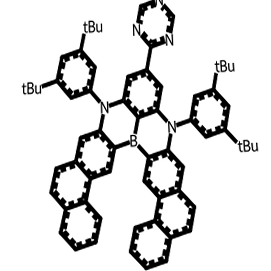 CC(C)(C)c1cc(N2c3cc4ccc5ccccc5c4cc3B3c4cc5c(ccc6ccccc65)cc4N(c4cc(C(C)(C)C)cc(C(C)(C)C)c4)c4cc(-c5ncncn5)cc2c43)cc(C(C)(C)C)c1